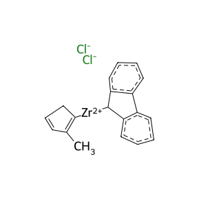 CC1=[C]([Zr+2][CH]2c3ccccc3-c3ccccc32)CC=C1.[Cl-].[Cl-]